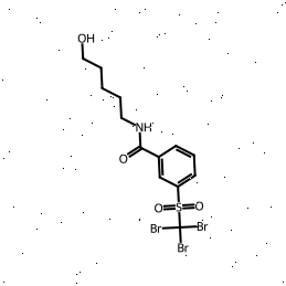 O=C(NCCCCCO)c1cccc(S(=O)(=O)C(Br)(Br)Br)c1